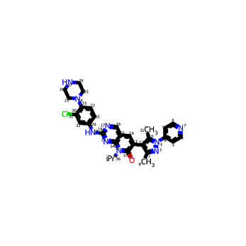 Cc1nn(-c2ccncc2)c(C)c1-c1cc2cnc(Nc3ccc(N4CCNCC4)c(Cl)c3)nc2n(C(C)C)c1=O